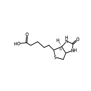 O=C(O)CCCCC1SCC2NC(=O)N[C@@H]21